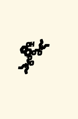 CCCN(CCC)C(=O)CO[C@H]1Cc2c(O)cccc2C[C@H]1OCC(=O)N(CCC)CCC